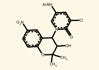 CC(=O)Nc1cc(Cl)c(=O)n(C2c3cc([N+](=O)[O-])ccc3OC(C)(C)C2O)c1